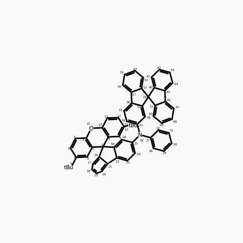 CC(C)(C)c1ccc2c(c1)C1(c3cc(C(C)(C)C)ccc3O2)c2ccccc2-c2ccc(N(c3ccccc3)c3ccc4c(c3)C3(c5ccccc5-c5ccccc53)c3ccccc3-4)cc21